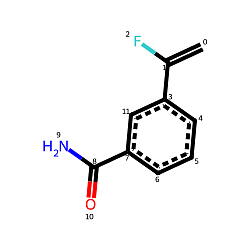 C=C(F)c1cccc(C(N)=O)c1